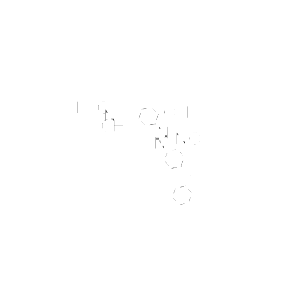 CN(C)CCc1ccc(O)c(N=Nc2ccc(Sc3ccccc3)cc2[N+](=O)[O-])c1